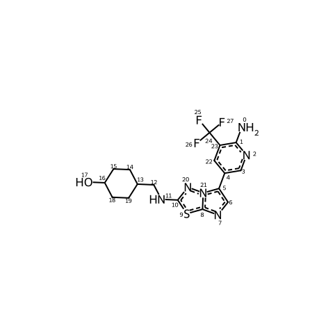 Nc1ncc(-c2cnc3sc(NCC4CCC(O)CC4)nn23)cc1C(F)(F)F